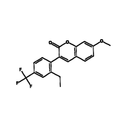 CCc1cc(C(F)(F)F)ccc1-c1cc2ccc(OC)cc2oc1=O